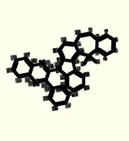 CC1(C)c2ccccc2C=Cc2ccc3c(c21)c1ccccc1n3-c1nc2ccccc2nc1-c1ccccc1